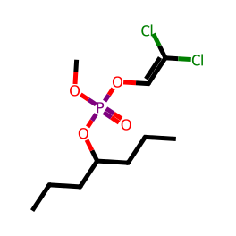 CCCC(CCC)OP(=O)(OC)OC=C(Cl)Cl